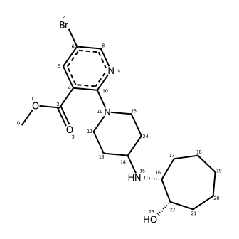 COC(=O)c1cc(Br)cnc1N1CCC(N[C@@H]2CCCCC[C@@H]2O)CC1